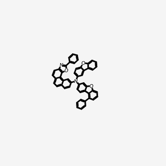 c1ccc(-c2nc3ccc4ccc5ccc(N(c6ccc7c(c6)oc6cccc(-c8ccccc8)c67)c6ccc7oc8ccccc8c7c6)cc5c4c3o2)cc1